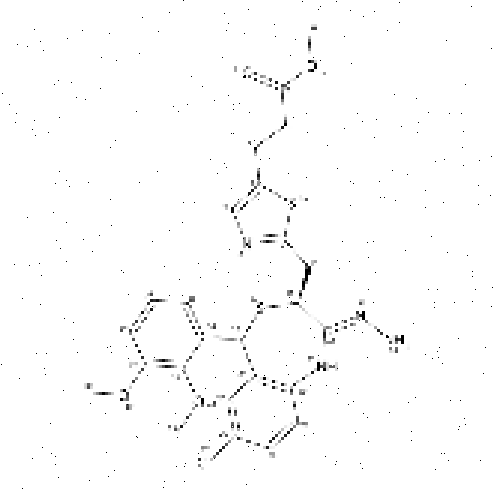 COC(=O)CCc1cnc(C[C@@H]2S[C@@H](c3cccc(OC)c3OC)c3cc(Cl)ccc3NC2=NN)s1